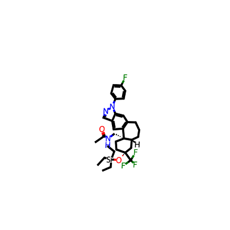 CC[Si](CC)(CC)O[C@]1(C(F)(F)F)CC[C@@]2(CNC(C)=O)c3cc4cnn(-c5ccc(F)cc5)c4cc3CCC[C@@H]2C1